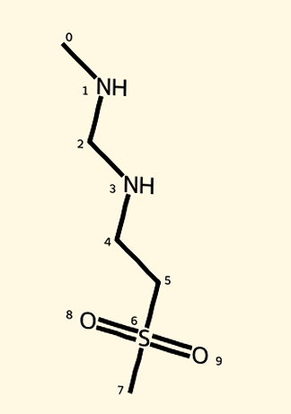 CNCNCCS(C)(=O)=O